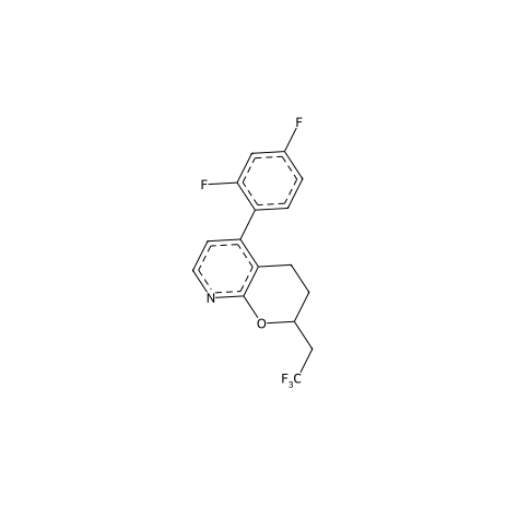 Fc1ccc(-c2ccnc3c2CCC(CC(F)(F)F)O3)c(F)c1